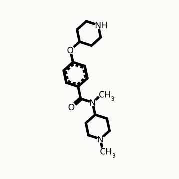 CN1CCC(N(C)C(=O)c2ccc(OC3CCNCC3)cc2)CC1